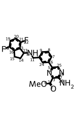 COC(=O)c1nc(-c2cccc(CNC3CCc4c(F)ccc(F)c43)c2)cnc1N